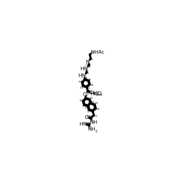 CC(=O)NCC/N=C/NCNc1ccc(C(=O)Oc2ccc3cc(CC(=O)NC(=N)N)ccc3c2)cc1.Cl.Cl